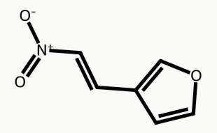 O=[N+]([O-])/C=C/c1ccoc1